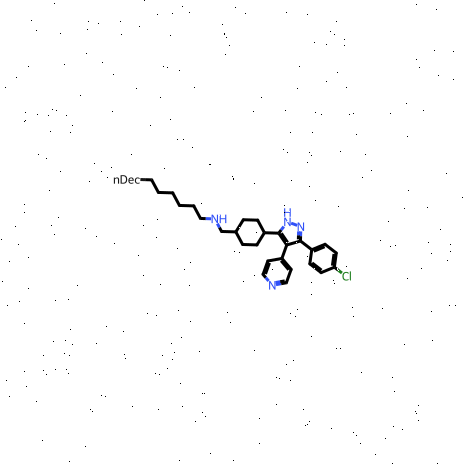 CCCCCCCCCCCCCCCCNCC1CCC(c2[nH]nc(-c3ccc(Cl)cc3)c2-c2ccncc2)CC1